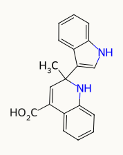 CC1(c2c[nH]c3ccccc23)C=C(C(=O)O)c2ccccc2N1